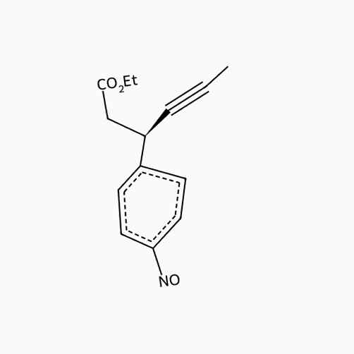 CC#C[C@H](CC(=O)OCC)c1ccc(N=O)cc1